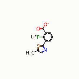 Cc1cnc(-c2cccc(C(=O)[O-])c2F)s1.[Li+]